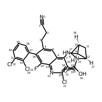 N#CCCc1cc2c(N[C@H]3[C@@H]4C[C@H]3N(C(=O)O)C4)c(I)c(Cl)nc2c(F)c1-c1cccc(Cl)c1Cl